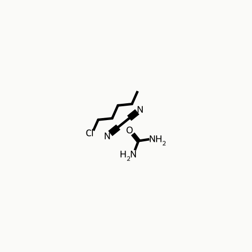 CCCCCCl.N#CC#N.NC(N)=O